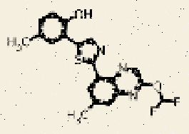 Cc1ccc(O)c(-c2cnc(-c3cc(C)cc4nc(OC(F)F)cnc34)s2)c1